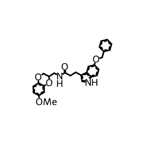 COc1ccc2c(c1)OC(CNC(=O)CCc1c[nH]c3ccc(OCc4ccccc4)cc13)CO2